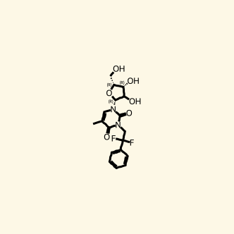 Cc1cn([C@@H]2O[C@H](CO)[C@H](O)C2O)c(=O)n(CC(F)(F)c2ccccc2)c1=O